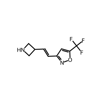 FC(F)(F)c1cc(/C=C/C2CNC2)no1